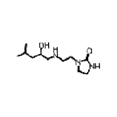 CC(C)CC(O)CNCCN1CCNC1=O